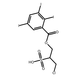 O=C(OCC(CCl)S(=O)(=O)O)c1cc(I)cc(I)c1I